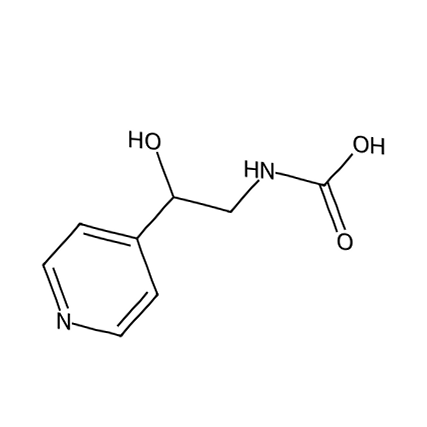 O=C(O)NCC(O)c1ccncc1